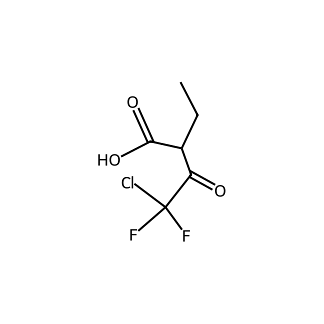 CCC(C(=O)O)C(=O)C(F)(F)Cl